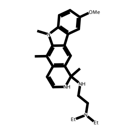 CCN(CC)CCNC1(C)NC=Cc2c1cc1c3cc(OC)ccc3n(C)c1c2C